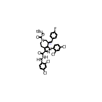 CC(C)(C)OC(=O)N1CCc2c(C(=O)NNc3ccc(Cl)cc3Cl)nn(-c3ccc(Cl)cc3Cl)c2/C(=C/c2ccc(F)cc2)C1